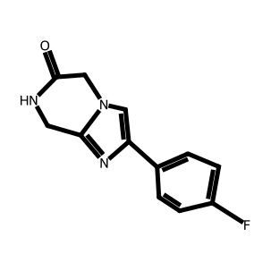 O=C1Cn2cc(-c3ccc(F)cc3)nc2CN1